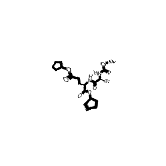 CC(C)[C@H](NC(=O)OC(C)(C)C)C(=O)N[C@H](CCC(=O)OC1CCCC1)C(=O)OC1CCCC1